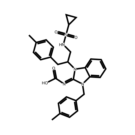 Cc1ccc(CC(CNS(=O)(=O)C2CC2)n2c(=NC(=O)O)n(Cc3ccc(C)cc3)c3ccccc32)cc1